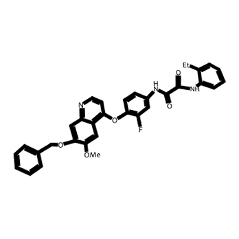 CCc1ccccc1NC(=O)C(=O)Nc1ccc(Oc2ccnc3cc(OCc4ccccc4)c(OC)cc23)c(F)c1